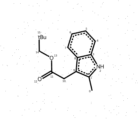 Cc1[nH]c2ccccc2c1CC(=O)OCC(C)(C)C